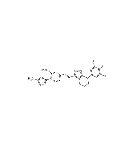 COc1cc(C=Cc2nnc3n2CCCC3c2cc(F)c(F)c(F)c2)ccc1-n1cnc(C)c1